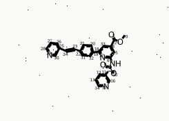 COC(=O)c1cc(NS(=O)(=O)c2cccnc2)nc(-c2ccc(C#Cc3cccnc3)cc2)c1